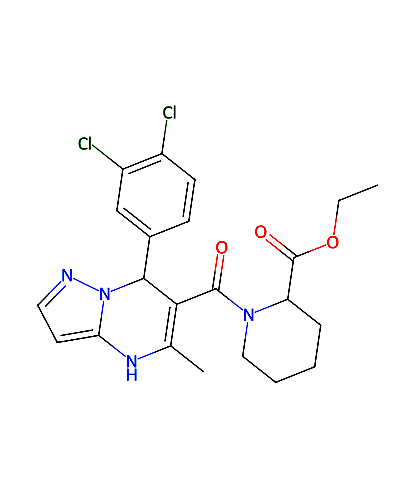 CCOC(=O)C1CCCCN1C(=O)C1=C(C)Nc2ccnn2C1c1ccc(Cl)c(Cl)c1